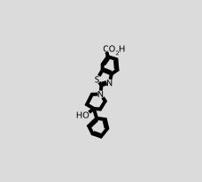 O=C(O)c1ccc2nc(N3CCC(O)(c4ccccc4)CC3)sc2c1